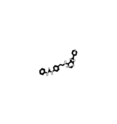 O=C(Nc1ccccc1)Nc1ccc(CCNC2NC=Nc3oc(-c4ccncc4)nc32)cc1